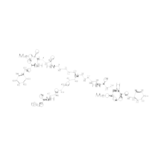 COC(=O)[C@H](CCC(=O)NCCCCCN(CCCCCNC(=O)CC[C@H](NC(=O)OCc1ccccc1)C(=O)OC)CCOCCOCCNC(=O)OC(C)(C)C)NC(=O)OCc1ccccc1